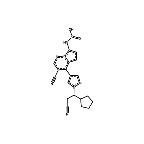 N#CCC(C1CCCC1)n1cc(-c2c(C#N)cnn3c(NS(=O)O)ccc23)cn1